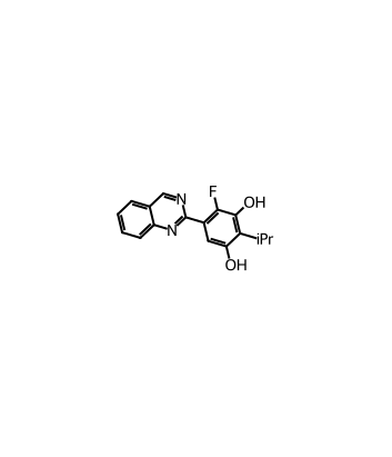 CC(C)c1c(O)cc(-c2ncc3ccccc3n2)c(F)c1O